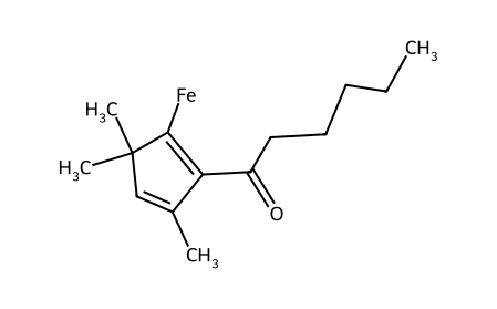 CCCCCC(=O)C1=[C]([Fe])C(C)(C)C=C1C